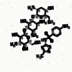 Cc1nnc(NS(=O)(=O)c2ccc(N)cc2)s1.NC[C@H]1O[C@H](O[C@H]2[C@H](O)[C@@H](O[C@H]3O[C@H](CO)[C@@H](O)[C@H](N)[C@H]3O)[C@H](N)C[C@@H]2N)[C@H](N)C[C@@H]1O